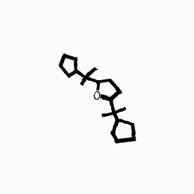 CC(C)(C1CCCC1)C1CCC(C(C)(C)C2CCCC2)O1